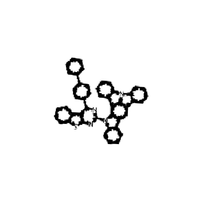 c1ccc(-c2ccc(-c3nc(-n4c5ccccc5c5cc6c7ccccc7n7c8ccccc8c(c54)c67)nc4sc5ccccc5c34)cc2)cc1